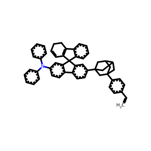 C=Cc1ccc(C23CC4CC(c5ccc6c(c5)C5(C7=C(CCC=C7)c7ccccc75)c5cc(N(c7ccccc7)c7ccccc7)ccc5-6)(CC4C2)C3)cc1